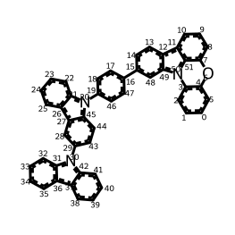 c1ccc2c(c1)Oc1cccc3c4ccc(-c5ccc(-n6c7ccccc7c7cc(-n8c9ccccc9c9ccccc98)ccc76)cc5)cc4n-2c13